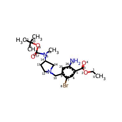 CCOC(=O)c1cc(Br)c(CN2CC[C@@H](N(C)C(=O)OC(C)(C)C)C2)cc1N